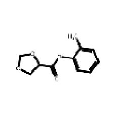 Cc1ccccc1OC(=O)C1COCO1